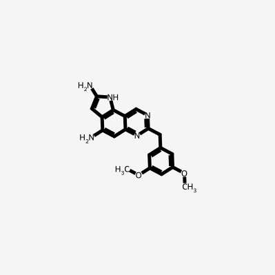 COc1cc(Cc2ncc3c(cc(N)c4cc(N)[nH]c43)n2)cc(OC)c1